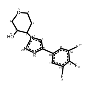 OC1COCCC1n1cc(-c2cc(F)c(F)c(F)c2)nn1